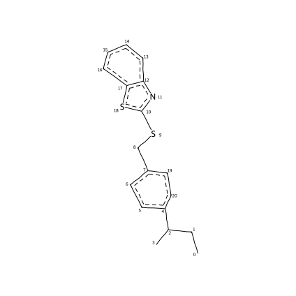 CCC(C)c1ccc(CSc2nc3ccccc3s2)cc1